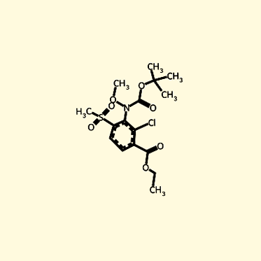 CCOC(=O)c1ccc(S(C)(=O)=O)c(N(OC)C(=O)OC(C)(C)C)c1Cl